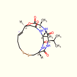 CC(C)[C@H]1NC(=O)[C@@H]2CSSCC/C=C/[C@H](CC(=O)N[C@H](C)C(=O)N2)OC(=O)[C@@H](C)NC1=O